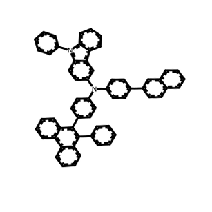 c1ccc(-c2c(-c3ccc(N(c4ccc(-c5ccc6ccccc6c5)cc4)c4ccc5c(c4)c4ccccc4n5-c4ccccc4)cc3)c3ccccc3c3ccccc23)cc1